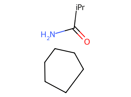 C1CCCCC1.CC(C)C(N)=O